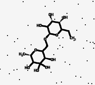 CCC1O[C@@H](OCC2O[C@@H](C)C(O)C(O)(O)[C@@H]2O)C(O)[C@H](O)[C@@H]1O